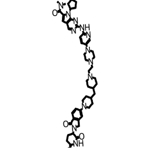 CN(C)C(=O)c1cc2cnc(Nc3ccc(N4CCN(CCN5CCC(CC6CCN(c7ccc8c(c7)CN(C7CCC(=O)NC7=O)C8=O)CC6)CC5)CC4)cn3)nc2n1C1CCCC1